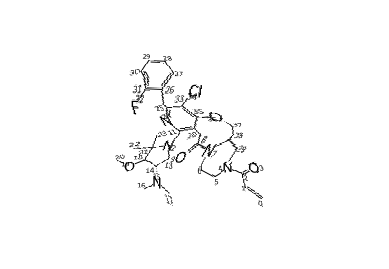 C=CC(=O)N1CCN2C(=O)c3c(N4C[C@H](N(C)C)C(OC)C4(C)C)nc(-c4ccccc4F)c(Cl)c3OCC2C1